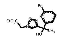 CCOC(=O)Cn1cc(C(C)(O)c2cccc(Br)n2)nn1